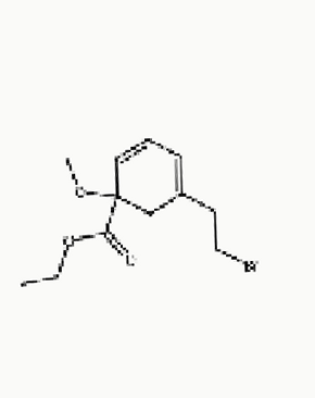 CCOC(=O)C1(OC)C=CC=C(CCBr)C1